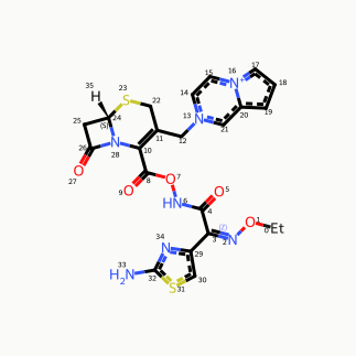 CCO/N=C(\C(=O)NOC(=O)C1=C(Cn2cc[n+]3cccc-3c2)CS[C@H]2CC(=O)N12)c1csc(N)n1